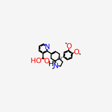 COc1ccc([C@@]23CC=C(c4ncccc4C(=O)O)C[C@@H]2N(C)CC3)cc1OC